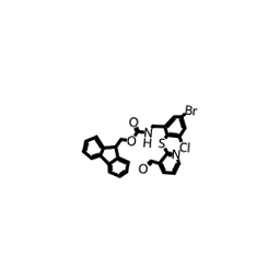 O=Cc1cccnc1Sc1c(Cl)cc(Br)cc1CNC(=O)OCC1c2ccccc2-c2ccccc21